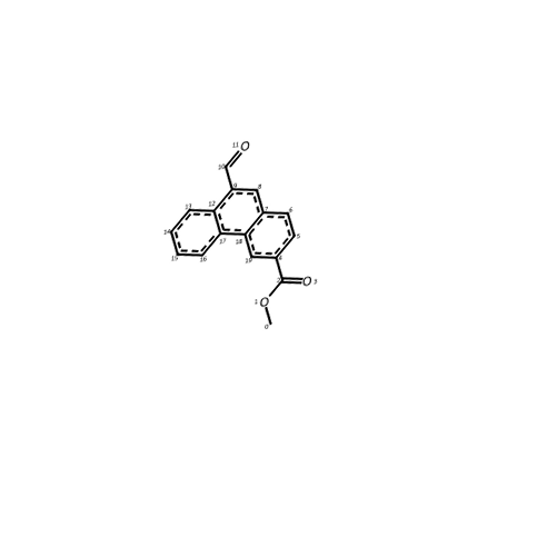 COC(=O)c1ccc2cc(C=O)c3ccccc3c2c1